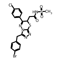 CS(=O)(=O)NC(=O)CC1Sc2nnc(Cc3ccc(Br)cc3)n2N=C1c1ccc(Cl)cc1